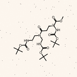 COC(=O)[C@H](CCC(=O)N(CCNC(=O)OC(C)(C)C)CNC(=O)OC(C)(C)C)NC(=O)OC(C)(C)C